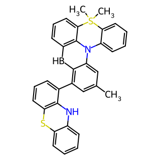 Cc1cc(-c2cccc3c2Nc2ccccc2S3)c2c(c1)N1c3ccccc3S(C)(C)c3cccc(c31)B2